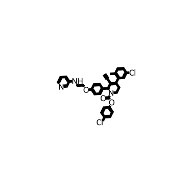 C#CC1=C(c2cc(Cl)ccc2C)CCN(C(=O)Oc2ccc(Cl)cc2)C1c1ccc(OCCNc2cccnc2)cc1